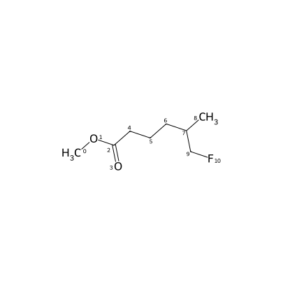 COC(=O)CCCC(C)CF